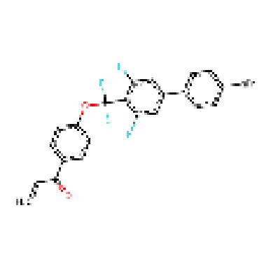 C=CC(=O)c1ccc(OC(F)(F)c2c(F)cc(-c3ccc(CCC)cc3)cc2F)cc1